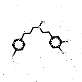 CCCN(CCCc1ccc(F)cc1)CCc1ccc(C)c(I)c1